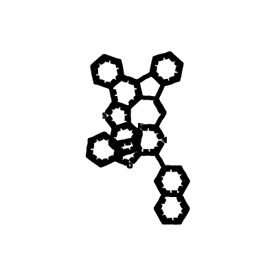 C(=C1\c2ccccc2-c2c1c1c3ccccc3sc1c1ccccc21)/c1nc(-c2ccc3ccccc3c2)c2oc3ccccc3c2n1